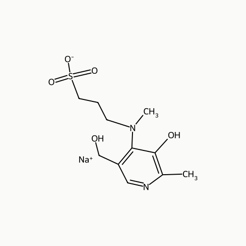 Cc1ncc(CO)c(N(C)CCCS(=O)(=O)[O-])c1O.[Na+]